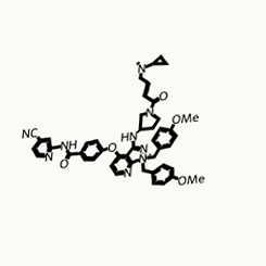 COc1ccc(C[N+]2(Cc3ccc(OC)cc3)N=C(N[C@@H]3CCN(C(=O)/C=C/CN(C)C4CC4)C3)c3c(Oc4ccc(C(=O)Nc5cc(C#N)ccn5)cc4)ccnc32)cc1